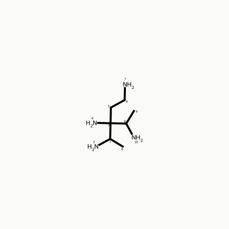 CC(N)C(N)(CCN)C(C)N